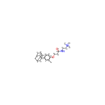 Cc1cc(C23CC4CC(CC(C4)C2)C3)ccc1OCCC(=O)NCC[N+](C)(C)C